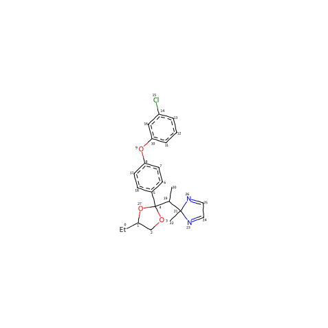 CCC1COC(c2ccc(Oc3cccc(Cl)c3)cc2)(C(C)C2(C)N=CC=N2)O1